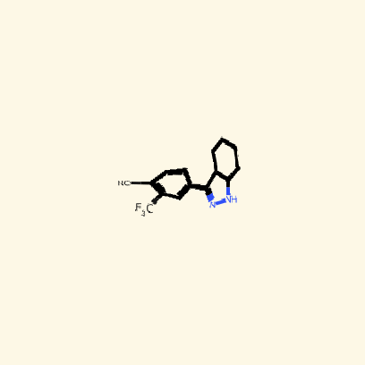 N#Cc1ccc(C2=NNC3CCCCC23)cc1C(F)(F)F